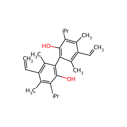 C=Cc1c(C)c(-c2c(C)c(C=C)c(C)c(C(C)C)c2O)c(O)c(C(C)C)c1C